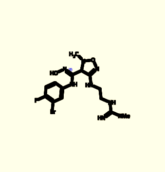 CNC(=N)NCCNC1=NON(C)C1/C(=N/O)Nc1ccc(F)c(Br)c1